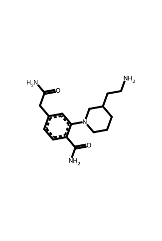 NCCC1CCCN(c2cc(CC(N)=O)ccc2C(N)=O)C1